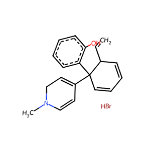 Br.C=CC1C=CC=CC1(C1=CCN(C)C=C1)c1ccccc1O